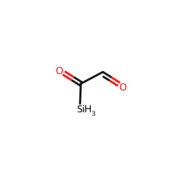 O=CC(=O)[SiH3]